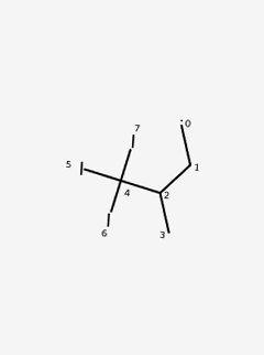 [CH2]CC(C)C(I)(I)I